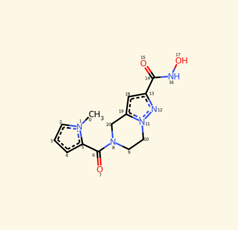 Cn1cccc1C(=O)N1CCn2nc(C(=O)NO)cc2C1